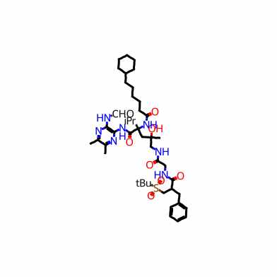 Cc1nc(NC=O)c(NC(=O)C(CC(C)(O)CNC(=O)CNC(=O)C(Cc2ccccc2)CS(=O)(=O)C(C)(C)C)(NC(=O)CCCCCC2CCCCC2)C(C)C)nc1C